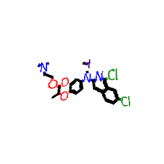 CC(Oc1ccc(N(C)c2cc3ccc(Cl)cc3c(Cl)n2)cc1)C(=O)OCCN(C)C.CI